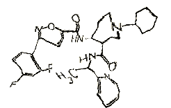 C[C@@H](NC(=O)[C@@H]1CN(C2CCCCC2)CC[C@H]1NC(=O)c1cc(-c2ccc(F)cc2F)no1)c1ccccn1